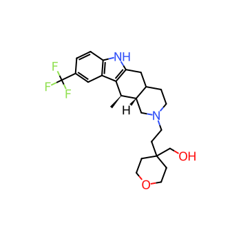 C[C@H]1c2c([nH]c3ccc(C(F)(F)F)cc23)CC2CCN(CCC3(CO)CCOCC3)C[C@@H]21